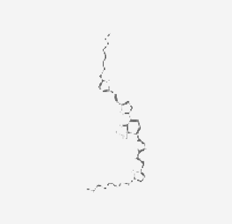 CCCCCCCCc1ccc(/C=C/C2=CCC(c3ccc(-c4ccc(/C=C/C5=CCC(CCCCCCCC)S5)s4)c4nsnc34)S2)s1